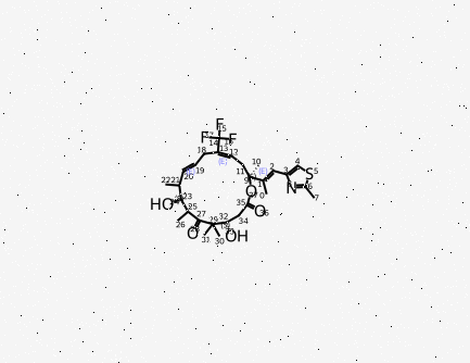 C/C(=C\c1csc(C)n1)[C@]1(C)C/C=C(/C(F)(F)F)C/C=C/C(C)[C@H](O)C(C)C(=O)C(C)(C)[C@@H](O)CC(=O)O1